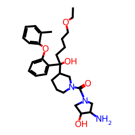 CCOCCCCC(O)(c1ccccc1Oc1ccccc1C)C1CCCN(C(=O)N2CC(N)C(O)C2)C1